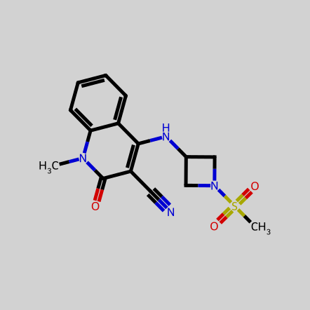 Cn1c(=O)c(C#N)c(NC2CN(S(C)(=O)=O)C2)c2ccccc21